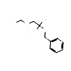 CCOCC(C)(C)OCc1ccccc1